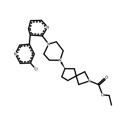 CCOC(=O)N1CC2(CC[C@@H](N3CCN(c4ncccc4-c4cncc(Cl)c4)CC3)C2)C1